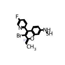 C/C=C1\Oc2cc(NS)ccc2C(c2ccc(F)cn2)=C1Br